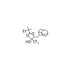 CCC(C)(C)C(=O)OC(CC1C2CC3CC(C2)CC1C3)C(C)(O)C(F)(F)F